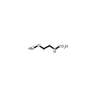 CCCCOCCNC(=O)OCC